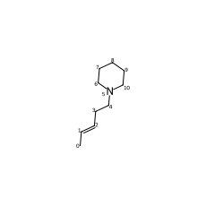 C/C=C/CCN1CCCCC1